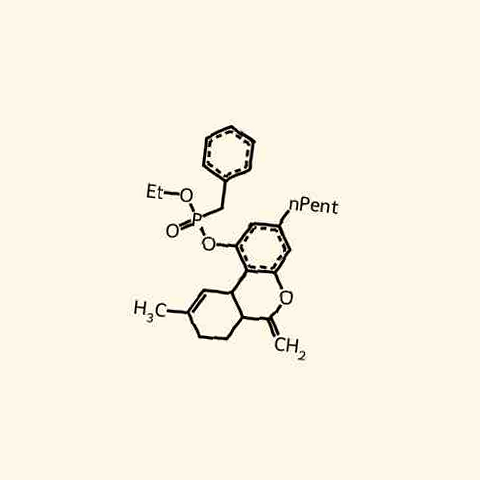 C=C1Oc2cc(CCCCC)cc(OP(=O)(Cc3ccccc3)OCC)c2C2C=C(C)CCC12